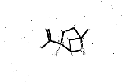 C=C(C)[C@H]1CCC2(C)CC1O2